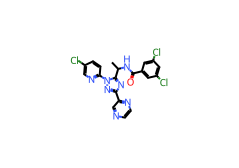 CC(NC(=O)c1cc(Cl)cc(Cl)c1)c1nc(-c2cnccn2)nn1-c1ccc(Cl)cn1